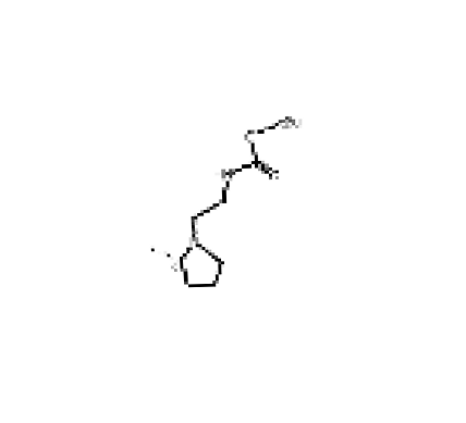 C[C@H]1CCCN1CCNC(=O)OC(C)(C)C